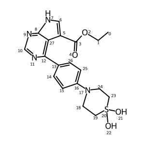 CCOC(=O)c1c[nH]c2ncnc(-c3ccc(N4CCS(O)(O)CC4)cc3)c12